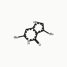 CC(C)(C)c1cc2[nH]cc(C(C)(C)C)c2c(=O)[nH]1